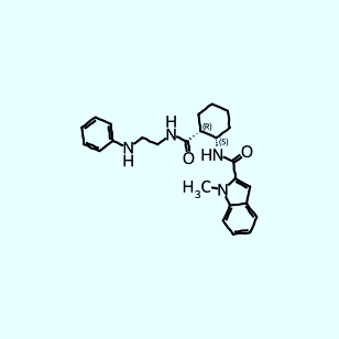 Cn1c(C(=O)N[C@H]2CCCC[C@H]2C(=O)NCCNc2ccccc2)cc2ccccc21